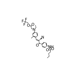 CCCCS(=O)(=O)Nc1ccc(C(=O)C(C#N)=Cc2ccc(N(CC)CC(=O)OCC(F)(F)F)cc2C)cc1